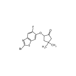 CC1(C)CC(=O)C(Oc2cc3sc(Br)nc3cc2F)C1